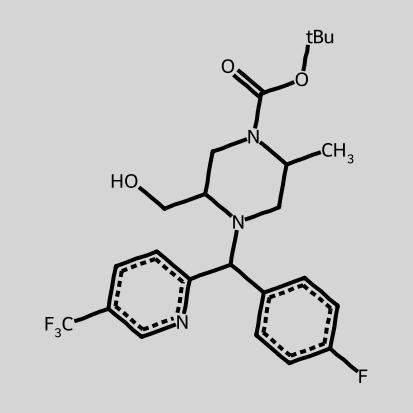 CC1CN(C(c2ccc(F)cc2)c2ccc(C(F)(F)F)cn2)C(CO)CN1C(=O)OC(C)(C)C